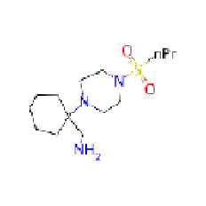 CCCS(=O)(=O)N1CCN(C2(CN)CCCCC2)CC1